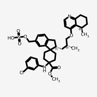 COC(=O)C1(Nc2cccc(Cl)c2)CCC2(CC1)c1cc(COS(=O)(=O)O)ccc1C[C@@H]2C[C@@H](C)COc1ccnc2c1[C@H](C)CCC2